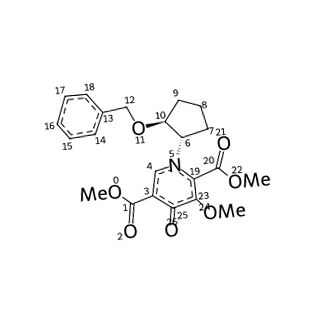 COC(=O)c1cn([C@H]2CCC[C@@H]2OCc2ccccc2)c(C(=O)OC)c(OC)c1=O